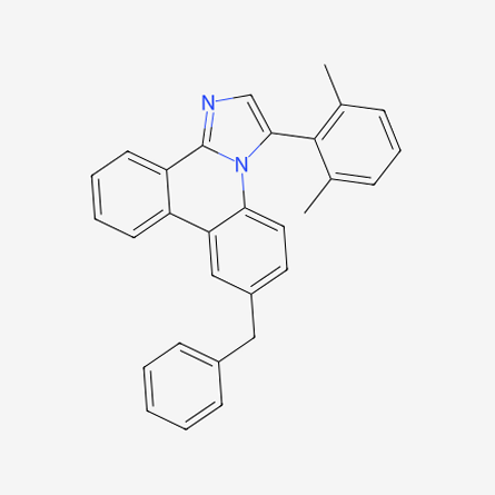 Cc1cccc(C)c1-c1cnc2c3ccccc3c3cc(Cc4ccccc4)ccc3n12